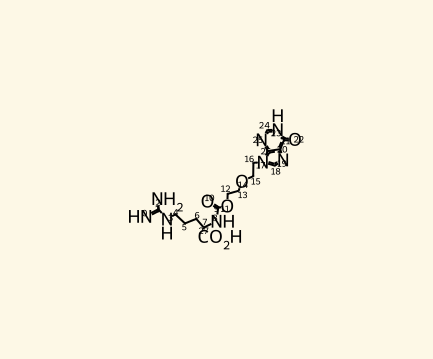 N=C(N)NCCCC(NC(=O)OCCOCCn1cnc2c(=O)[nH]cnc21)C(=O)O